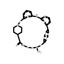 CN1CCNC(=O)C2CCN(CC2)Cc2cccc(c2)Nc2nccc(n2)-c2ccc(cc2)C1